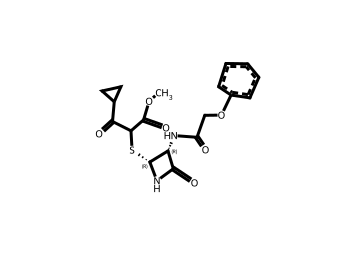 COC(=O)C(S[C@H]1NC(=O)[C@H]1NC(=O)COc1ccccc1)C(=O)C1CC1